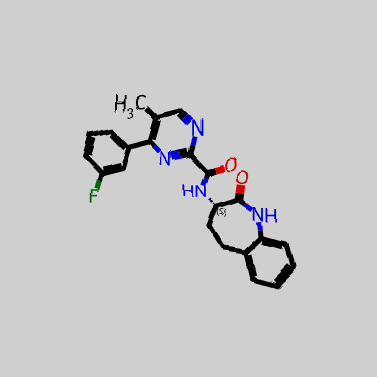 Cc1cnc(C(=O)N[C@H]2CCc3ccccc3NC2=O)nc1-c1cccc(F)c1